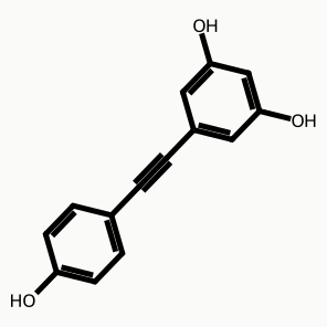 Oc1ccc(C#Cc2cc(O)cc(O)c2)cc1